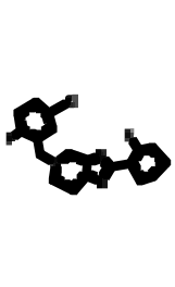 Fc1ccc(Cl)cc1Cn1ccc2nc(-c3ccccc3F)nc-2c1